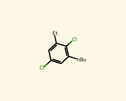 CCCCc1cc(Cl)cc(CC)c1Cl